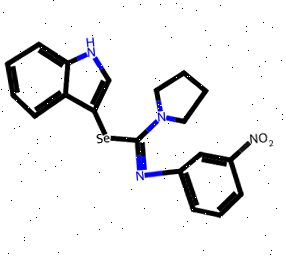 O=[N+]([O-])c1cccc(N=C([Se]c2c[nH]c3ccccc23)N2CCCC2)c1